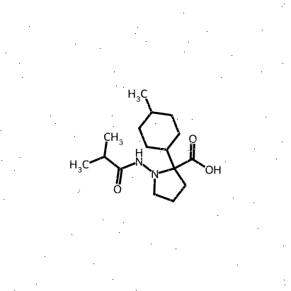 CC1CCC(C2(C(=O)O)CCCN2NC(=O)C(C)C)CC1